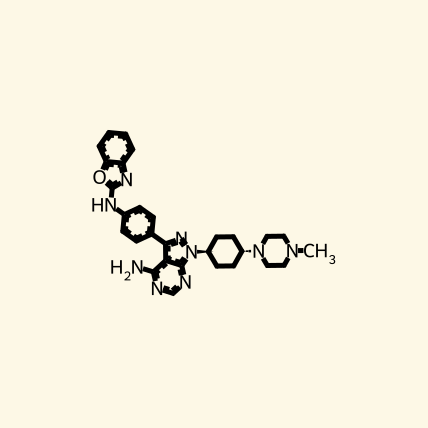 CN1CCN([C@H]2CC[C@H](n3nc(-c4ccc(Nc5nc6ccccc6o5)cc4)c4c(N)ncnc43)CC2)CC1